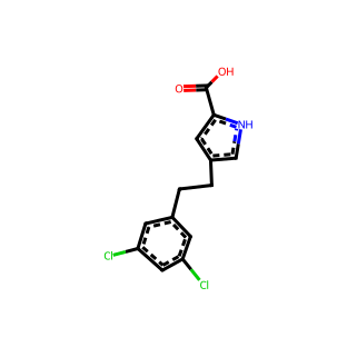 O=C(O)c1cc(CCc2cc(Cl)cc(Cl)c2)c[nH]1